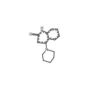 O=c1cc(N2CCCCC2)c2ccccc2[nH]1